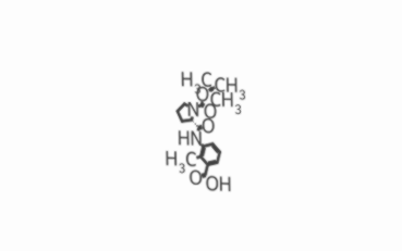 Cc1c(NC(=O)[C@@H]2CCCN2C(=O)OC(C)(C)C)cccc1C(=O)O